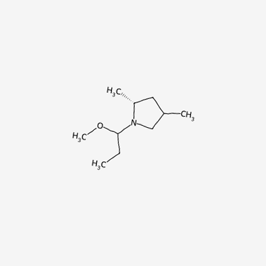 CCC(OC)N1CC(C)C[C@H]1C